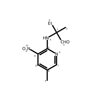 CCC(C)(C=O)Nc1ncc(C)cc1[N+](=O)[O-]